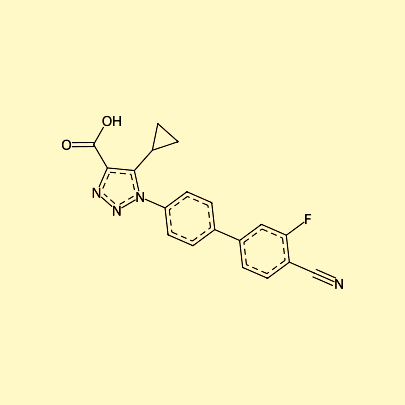 N#Cc1ccc(-c2ccc(-n3nnc(C(=O)O)c3C3CC3)cc2)cc1F